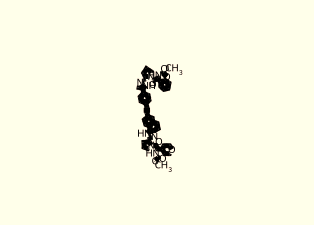 COC(=O)N[C@H](C(=O)N1CCC[C@H]1c1nc2ccc3cc(C#Cc4ccc(-c5cnc([C@@H]6CCCN6C(=O)[C@H](NC(=O)OC)c6ccccc6)[nH]5)cc4)ccc3c2[nH]1)C1CCOCC1